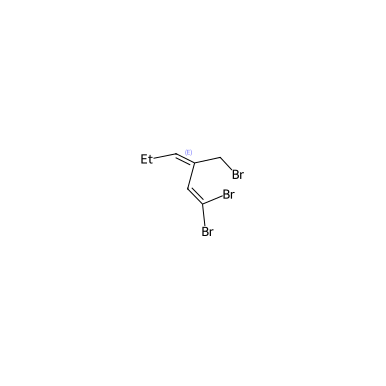 CC/C=C(\C=C(Br)Br)CBr